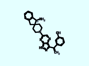 C=C(c1cccc(O)c1)c1n[nH]c2nc(N3CCC4(CC3)Cc3ccccc3[C@H]4N)cnc12